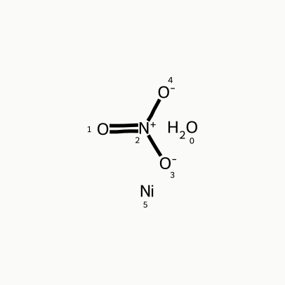 O.O=[N+]([O-])[O-].[Ni]